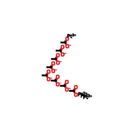 CC(=O)[O-].CC(=O)[O-].CC(=O)[O-].CC(=O)[O-].CC(=O)[O-].CC(=O)[O-].CC(=O)[O-].CC(=O)[O-].[Pt+2].[Pt+2].[Pt+2].[Pt+2]